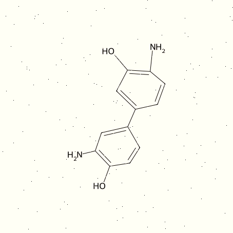 Nc1cc(-c2ccc(N)c(O)c2)ccc1O